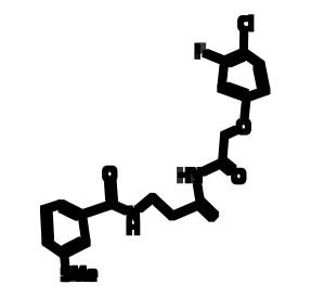 C=C(CCNC(=O)c1cccc(SC)c1)NC(=O)COc1ccc(Cl)c(F)c1